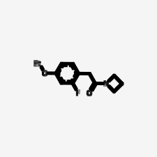 CCOc1ccc(CC(=O)N2CCC2)c(F)c1